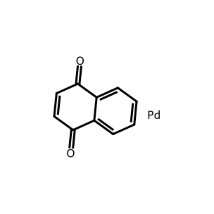 O=C1C=CC(=O)c2ccccc21.[Pd]